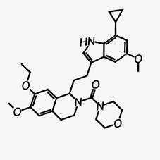 CCOc1cc2c(cc1OC)CCN(C(=O)N1CCOCC1)C2CCc1c[nH]c2c(C3CC3)cc(OC)cc12